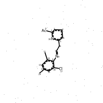 CC(=O)c1cccc(CC=Nc2c(C)cc(C)cc2Cl)n1